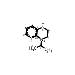 CC(C)N1CCNc2cccnc21